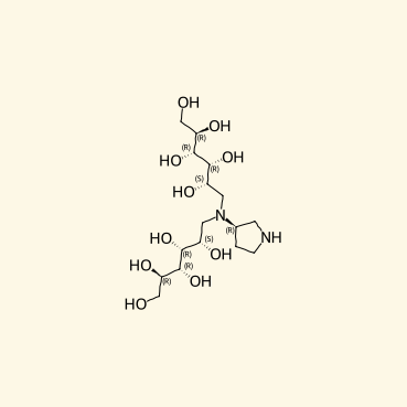 OC[C@@H](O)[C@@H](O)[C@H](O)[C@@H](O)CN(C[C@H](O)[C@@H](O)[C@H](O)[C@H](O)CO)[C@@H]1CCNC1